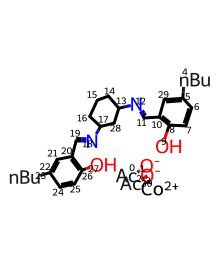 CC(=O)[O-].CC(=O)[O-].CCCCc1ccc(O)c(C=NC2CCCC(N=Cc3cc(CCCC)ccc3O)C2)c1.[Co+2]